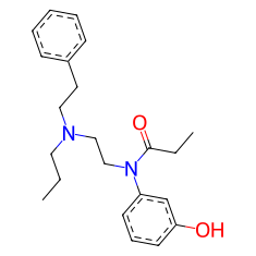 CCCN(CCc1ccccc1)CCN(C(=O)CC)c1cccc(O)c1